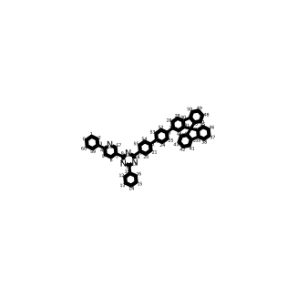 c1ccc(-c2ccc(-c3nc(-c4ccccc4)nc(-c4ccc(-c5ccc(-c6ccc7c(c6)C6(c8ccccc8-c8ccccc86)c6ccccc6-7)cc5)cc4)n3)cn2)cc1